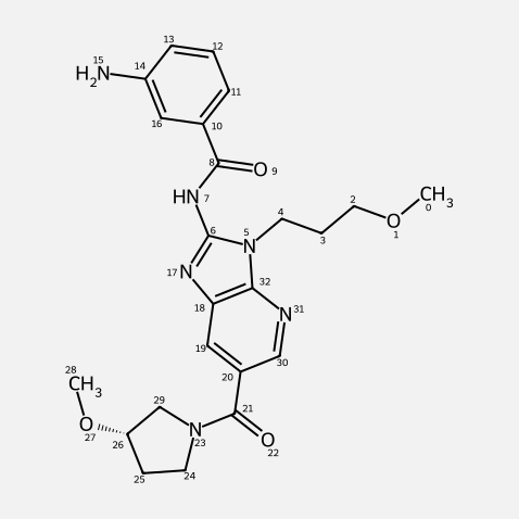 COCCCn1c(NC(=O)c2cccc(N)c2)nc2cc(C(=O)N3CC[C@H](OC)C3)cnc21